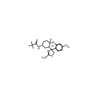 COc1ccc2c(c1)O[C@H]1CC[C@H](NC(=O)C(C)(C)C)C[C@@H]1C21CSC(N)=N1